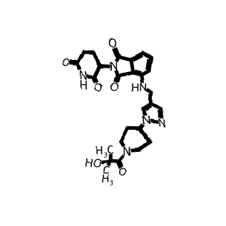 CC(C)(O)C(=O)N1CCC(n2cc(CNc3cccc4c3C(=O)N(C3CCC(=O)NC3=O)C4=O)cn2)CC1